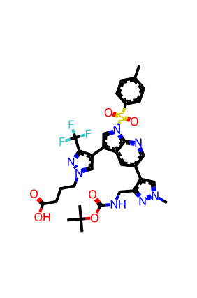 Cc1ccc(S(=O)(=O)n2cc(-c3cn(CCCC(=O)O)nc3C(F)(F)F)c3cc(-c4cn(C)nc4CNC(=O)OC(C)(C)C)cnc32)cc1